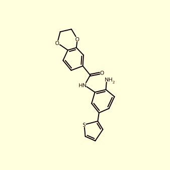 Nc1ccc(-c2cccs2)cc1NC(=O)c1ccc2c(c1)OCCO2